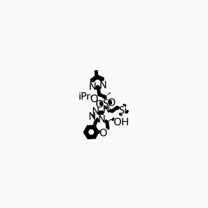 Cc1cnc([C@H](OC(C)C)[C@H](C)S(=O)(=O)N(CC[Si](C)(C)C)c2nnc3n2[C@H](CO)COc2ccccc2-3)nc1